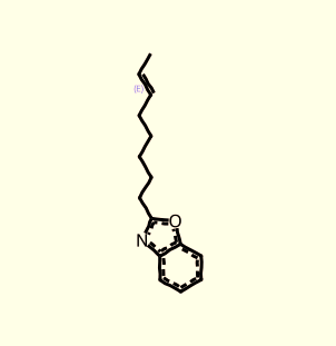 C/C=C/CCCCCc1nc2ccccc2o1